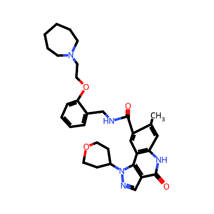 Cc1cc2[nH]c(=O)c3cnn(C4CCOCC4)c3c2cc1C(=O)NCc1ccccc1OCCN1CCCCCC1